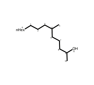 CCCCCCCCCC(C)CCCC(C)O